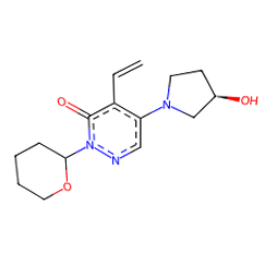 C=Cc1c(N2CC[C@@H](O)C2)cnn(C2CCCCO2)c1=O